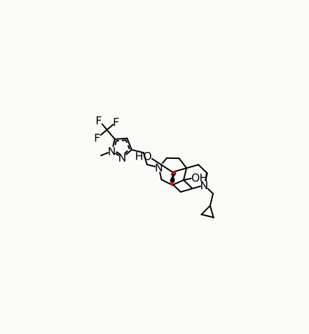 Cn1nc(CCN2CCC34CCN(CC5CC5)C(Cc5ccc(O)cc53)C4(O)CC2)cc1C(F)(F)F